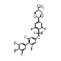 CC1COC(c2cc(F)c(C(F)(F)Oc3cc(F)c(-c4cc(F)c(F)c(F)c4)c(F)c3)c(F)c2)OC1